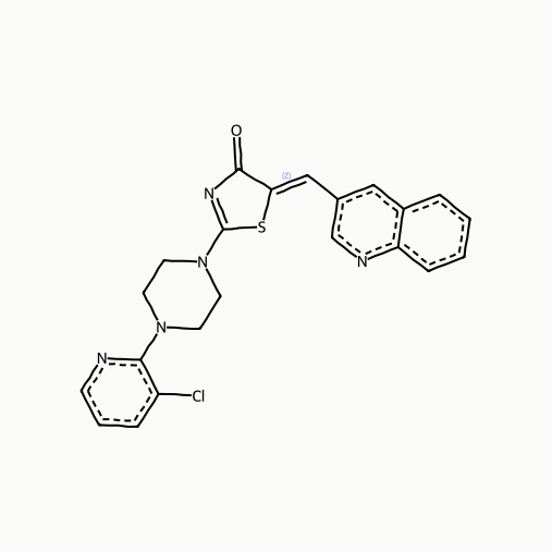 O=C1N=C(N2CCN(c3ncccc3Cl)CC2)S/C1=C\c1cnc2ccccc2c1